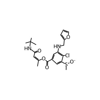 C/C(=C/C(=O)NC(C)(C)C)OC(=O)c1cc(NCc2ccco2)c(Cl)c([S+](C)[O-])c1